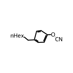 CCCCCCCc1ccc(OC#N)cc1